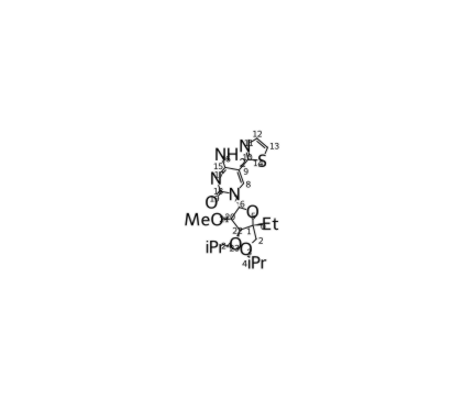 CC[C@]1(COC(C)C)O[C@@H](n2cc(-c3nccs3)c(N)nc2=O)[C@H](OC)[C@@H]1OC(C)C